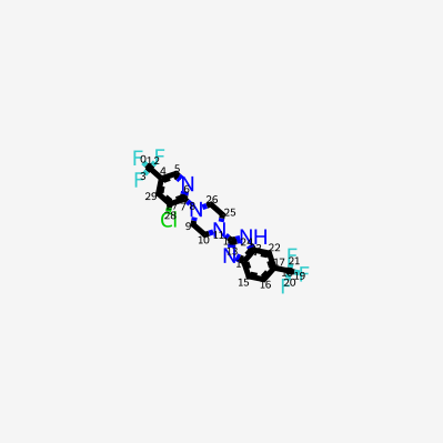 FC(F)(F)c1cnc(N2CCN(c3nc4ccc(C(F)(F)F)cc4[nH]3)CC2)c(Cl)c1